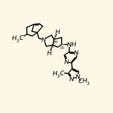 Cc1nn(C)cc1-c1cnc(N[C@H]2C[C@@H]3CN(CC45CC=C(CC(C)C4)C5)C[C@@H]3C2)cn1